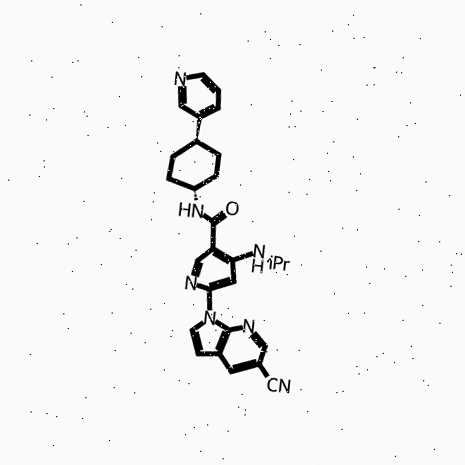 CC(C)Nc1cc(-n2ccc3cc(C#N)cnc32)ncc1C(=O)N[C@H]1CC[C@H](c2cccnc2)CC1